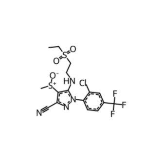 CCS(=O)(=O)CCNc1c([S+](C)[O-])c(C#N)nn1-c1ccc(C(F)(F)F)cc1Cl